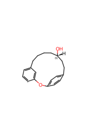 O[C@H]1CCCCc2cc[c]c(c2)Oc2ccc(cc2)CC1